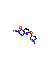 CCN1CCc2nc(OC3CCN(C)CC3)ccc2C1=O